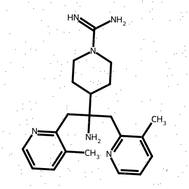 Cc1cccnc1CC(N)(Cc1ncccc1C)C1CCN(C(=N)N)CC1